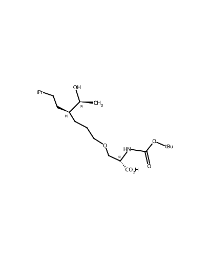 CC(C)CC[C@H](CCCOC[C@H](NC(=O)OC(C)(C)C)C(=O)O)[C@H](C)O